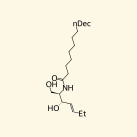 CC/C=C/[C@H](O)[C@@H](CO)NC(=O)CCCCCCCCCCCCCCCCC